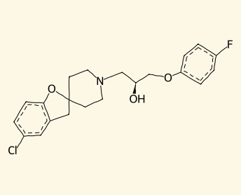 O[C@H](COc1ccc(F)cc1)CN1CCC2(CC1)Cc1cc(Cl)ccc1O2